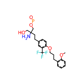 COc1ccccc1CCCOc1ccc(CCC(N)(CO)COP=O)cc1C(F)(F)F